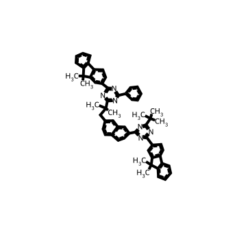 CC(C)(C)c1nc(-c2ccc3c(c2)C(C)(C)c2ccccc2-3)nc(-c2ccc3ccc(CC(C)(C)c4nc(-c5ccccc5)nc(-c5ccc6c(c5)C(C)(C)c5ccccc5-6)n4)cc3c2)n1